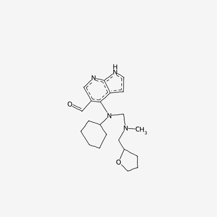 CN(CC1CCCO1)CN(c1c(C=O)cnc2[nH]ccc12)C1CCCCC1